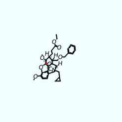 CCOC(=O)CC[C@H]1[C@H](COCc2ccccc2)[C@@]23CC[C@]1(OC)C1Oc4c(OC)ccc5c4[C@@]12CCN(CC1CC1)[C@@H]3C5